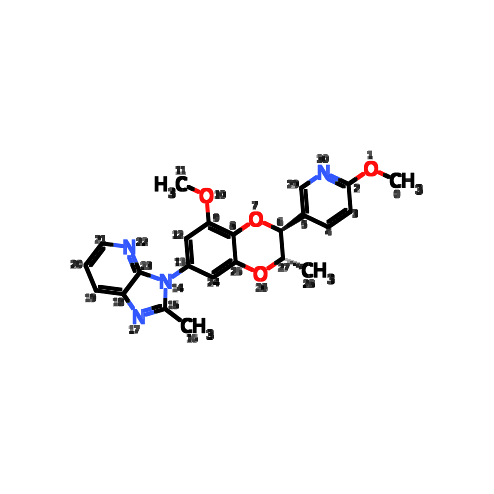 COc1ccc([C@@H]2Oc3c(OC)cc(-n4c(C)nc5cccnc54)cc3O[C@H]2C)cn1